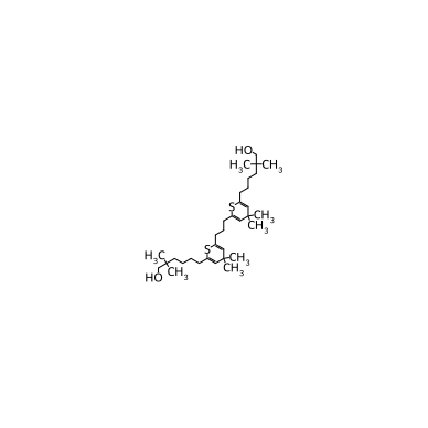 CC1(C)C=C(CCCCC(C)(C)CO)SC(CCCC2=CC(C)(C)C=C(CCCCC(C)(C)CO)S2)=C1